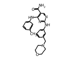 Cc1cccc(Nc2nc(Nc3cccc(CN4CCOCC4)c3)ncc2C(N)=O)c1